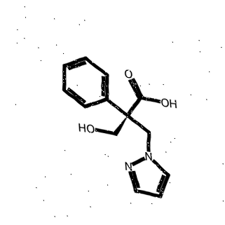 O=C(O)[C@](CO)(Cn1cccn1)c1ccccc1